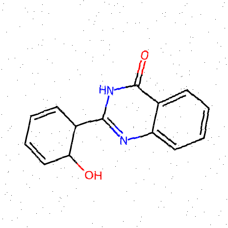 O=c1[nH]c(C2C=CC=CC2O)nc2ccccc12